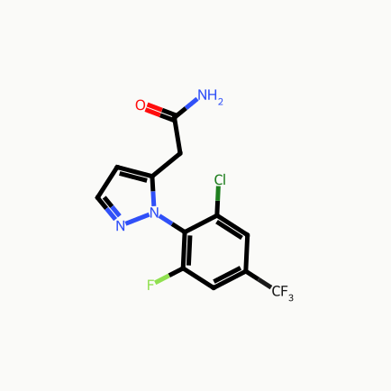 NC(=O)Cc1ccnn1-c1c(F)cc(C(F)(F)F)cc1Cl